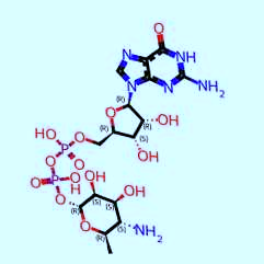 C[C@H]1O[C@H](OP(=O)(O)OP(=O)(O)OC[C@H]2O[C@@H](n3cnc4c(=O)[nH]c(N)nc43)[C@H](O)[C@@H]2O)[C@@H](O)[C@@H](O)[C@@H]1N